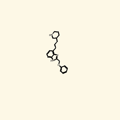 c1ccc(OCc2nc3c(CCCC4CCCNC4)cccc3[nH]2)cc1